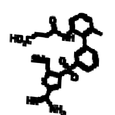 CSc1sc(C(=N)N)cc1S(=O)(=O)c1cccc(-c2c(C)cccc2NC(=O)CCC(=O)O)c1